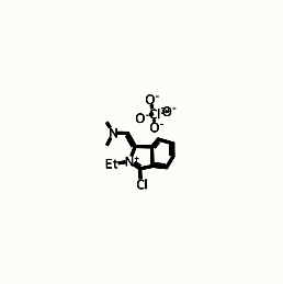 CC[N+]1=C(Cl)c2ccccc2/C1=C/N(C)C.[O-][Cl+3]([O-])([O-])[O-]